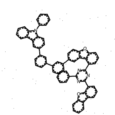 c1ccc(-c2nc(-c3cccc4c3oc3ccccc34)nc(-c3cccc4oc5ccc(-c6cccc(-c7cccc(-c8ccc9c(c8)c8ccccc8n9-c8ccccc8)c7)c6)cc5c34)n2)cc1